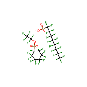 O=S(=O)(O)C(F)(F)C(F)(F)C(F)(F)C(F)(F)C(F)(F)C(F)(F)C(F)(F)C(F)(F)F.O=S(=O)(OC(F)(F)C(F)(F)F)C1(F)C(F)(F)C(F)(F)C(F)(F)C(F)(F)C1(F)F